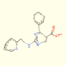 O=C(O)c1cnc(NCc2ccccn2)nc1-c1ccccc1